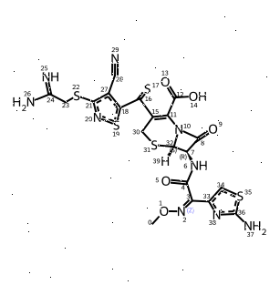 CO/N=C(\C(=O)N[C@@H]1C(=O)N2C(C(=O)O)=C(C(=S)c3snc(SCC(=N)N)c3C#N)CS[C@@H]12)c1csc(N)n1